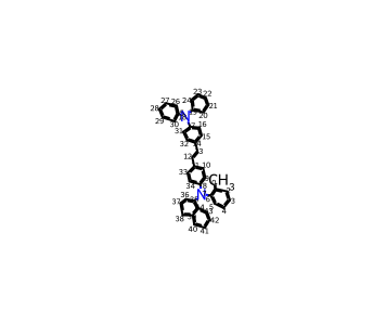 Cc1ccccc1N(c1ccc(/C=C/c2ccc(N(c3ccccc3)c3ccccc3)cc2)cc1)c1cccc2ccccc12